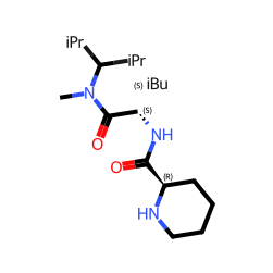 CC[C@H](C)[C@H](NC(=O)[C@H]1CCCCN1)C(=O)N(C)C(C(C)C)C(C)C